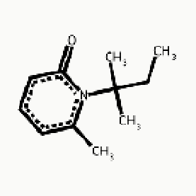 CCC(C)(C)n1c(C)cccc1=O